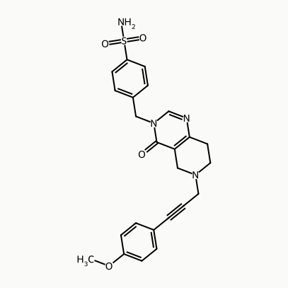 COc1ccc(C#CCN2CCc3ncn(Cc4ccc(S(N)(=O)=O)cc4)c(=O)c3C2)cc1